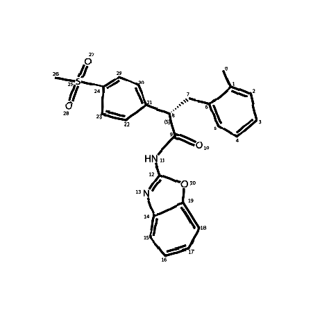 Cc1ccccc1C[C@H](C(=O)Nc1nc2ccccc2o1)c1ccc(S(C)(=O)=O)cc1